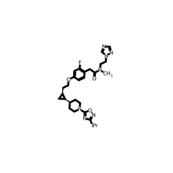 CC(C)c1noc(N2CCC([C@H]3C[C@H]3CCOc3ccc(CC(=O)N(C)CCn4cncn4)c(F)c3)CC2)n1